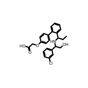 CCC(NC(CO)c1cccc(Cl)c1)c1ccccc1-c1ccc(OCC(=O)O)cc1